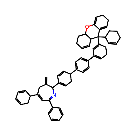 C=C1CC(C2C=CC=CC2)=CC(c2ccccc2)=NC1C1=CCC(c2ccc(C3=CCCC(C4(C5C=CCCC5)C5=CCCC=C5OC5CCC=CC54)=C3)cc2)C=C1